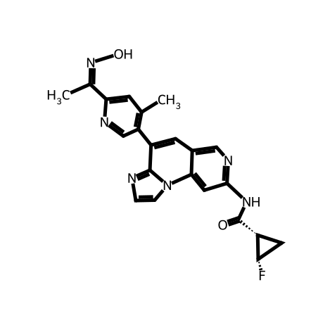 C/C(=N/O)c1cc(C)c(-c2cc3cnc(NC(=O)[C@@H]4C[C@@H]4F)cc3n3ccnc23)cn1